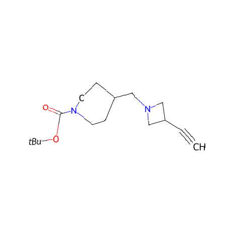 C#CC1CN(CC2CCN(C(=O)OC(C)(C)C)CC2)C1